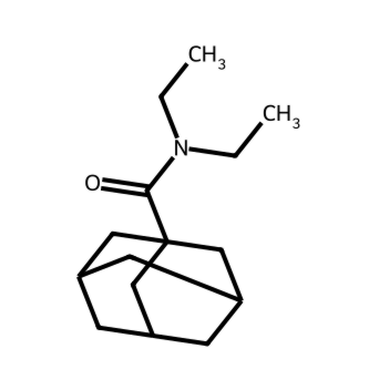 CCN(CC)C(=O)C12CC3CC(CC(C3)C1)C2